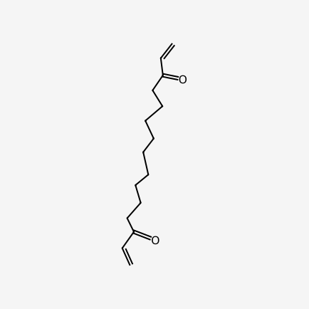 C=CC(=O)CCCCCCCCCC(=O)C=C